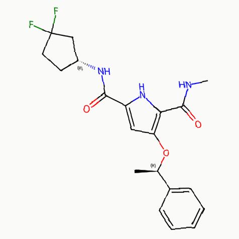 CNC(=O)c1[nH]c(C(=O)N[C@@H]2CCC(F)(F)C2)cc1O[C@H](C)c1ccccc1